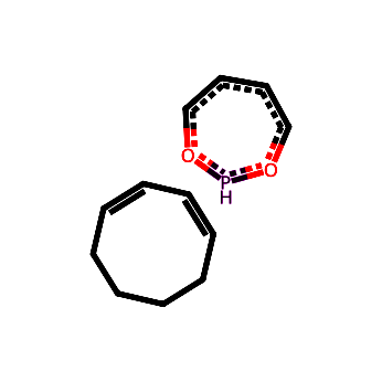 C1=CCCCCC=C1.c1cco[pH]oc1